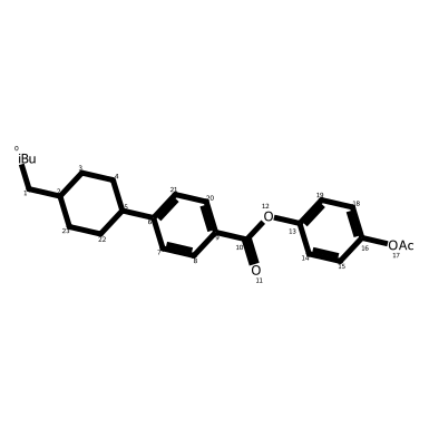 CCC(C)CC1CCC(c2ccc(C(=O)Oc3ccc(OC(C)=O)cc3)cc2)CC1